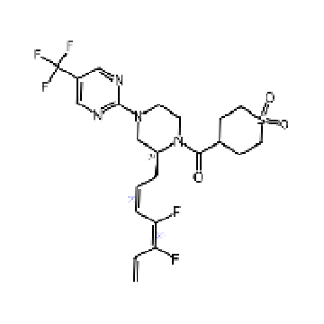 C=C/C(F)=C(F)\C=C/C[C@H]1CN(c2ncc(C(F)(F)F)cn2)CCN1C(=O)C1CCS(=O)(=O)CC1